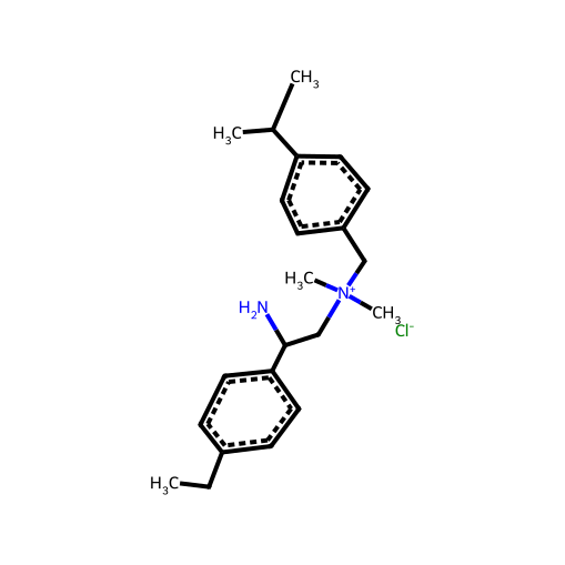 CCc1ccc(C(N)C[N+](C)(C)Cc2ccc(C(C)C)cc2)cc1.[Cl-]